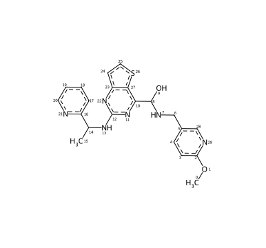 COc1ccc(CNC(O)c2nc(NC(C)c3ccccn3)nc3ccsc23)cn1